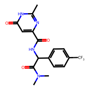 Cc1nc(C(=O)NC(C(=O)N(C)C)c2ccc(C(F)(F)F)cc2)cc(=O)[nH]1